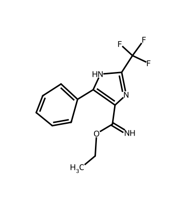 CCOC(=N)c1nc(C(F)(F)F)[nH]c1-c1ccccc1